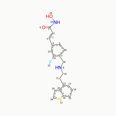 O=C(/C=C/c1ccc(CNCCc2cccc3sccc23)c(F)c1)NO